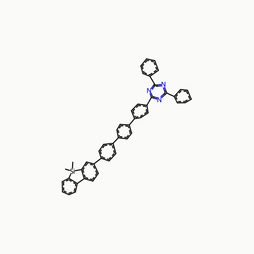 C[Si]1(C)c2ccccc2-c2ccc(-c3ccc(-c4ccc(-c5ccc(-c6nc(-c7ccccc7)nc(-c7ccccc7)n6)cc5)cc4)cc3)cc21